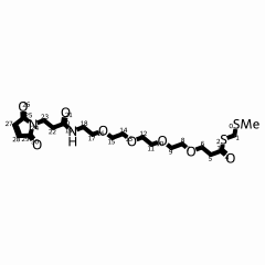 CSCSC(=O)CCOCCOCCOCCOCCNC(=O)CCN1C(=O)C=CC1=O